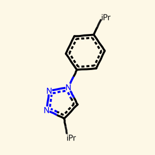 CC(C)c1ccc(-n2cc(C(C)C)nn2)cc1